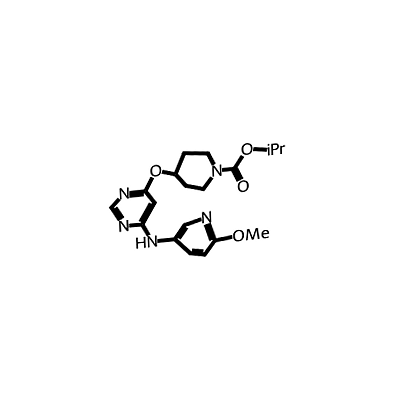 COc1ccc(Nc2cc(OC3CCN(C(=O)OC(C)C)CC3)ncn2)cn1